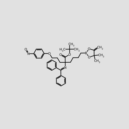 C=C1OB(CCCCC(CCCOc2ccc(N=O)cc2)(N=C(c2ccccc2)c2ccccc2)C(=O)OC(C)(C)C)OC1(C)C